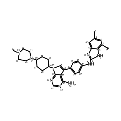 Cc1cc(F)c2[nH]c(Nc3ccc(-c4cn(C5CCC(N6CCN(C)CC6)CC5)c5ncnc(N)c45)cc3)nc2c1